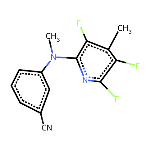 Cc1c(F)c(F)nc(N(C)c2cccc(C#N)c2)c1F